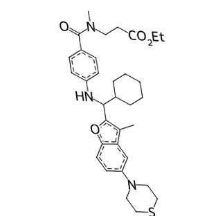 CCOC(=O)CCN(C)C(=O)c1ccc(NC(c2oc3ccc(N4CCSCC4)cc3c2C)C2CCCCC2)cc1